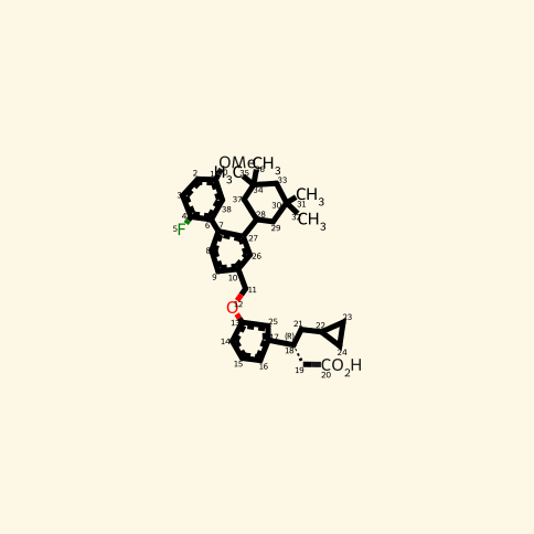 COc1ccc(F)c(-c2ccc(COc3cccc([C@@H](CC(=O)O)CC4CC4)c3)cc2C2CC(C)(C)CC(C)(C)C2)c1